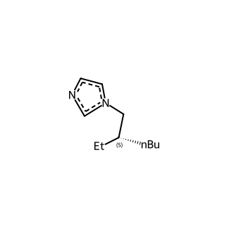 CCCC[C@H](CC)Cn1ccnc1